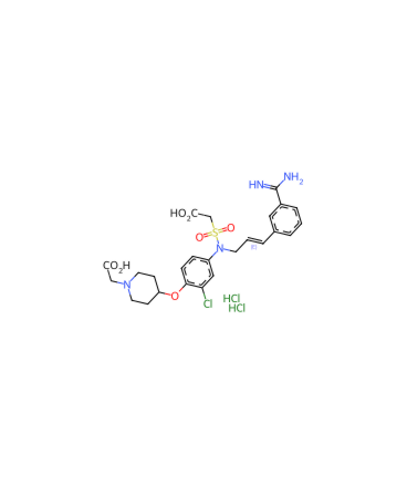 Cl.Cl.N=C(N)c1cccc(/C=C/CN(c2ccc(OC3CCN(CC(=O)O)CC3)c(Cl)c2)S(=O)(=O)CC(=O)O)c1